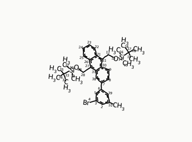 Cc1cc(Br)cc(-c2ccc3c(CO[Si](C)(C)C(C)(C)C)c4ccccc4c(CO[Si](C)(C)C(C)(C)C)c3c2)c1